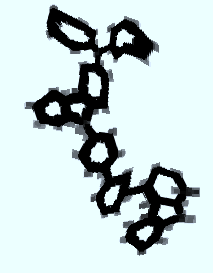 c1ccc(N(c2ccccc2)c2ccc3c(c2)c2ccccc2n3-c2ccc(-c3cccc(C4CCNC5Sc6ccccc6C54)c3)cc2)cc1